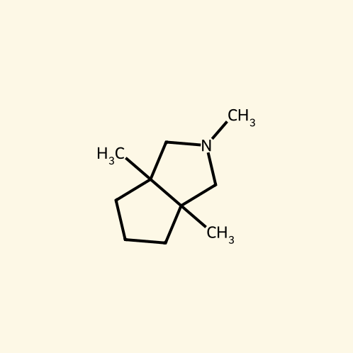 CN1CC2(C)CCCC2(C)C1